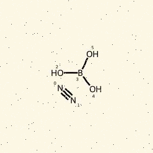 N#N.OB(O)O